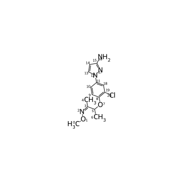 CO/N=C(/C)C(C)Oc1ccc(-n2ccc(N)n2)cc1Cl